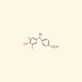 CC(=O)C(c1ccc(C(=O)O)cc1)c1cc(C)c(O)c(C)c1